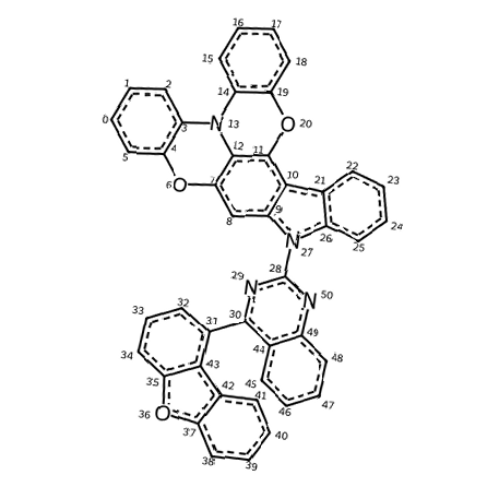 c1ccc2c(c1)Oc1cc3c(c4c1N2c1ccccc1O4)c1ccccc1n3-c1nc(-c2cccc3oc4ccccc4c23)c2ccccc2n1